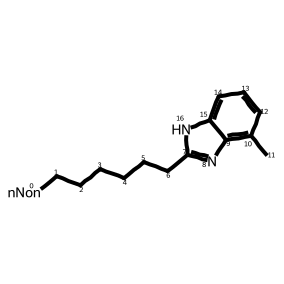 CCCCCCCCCCCCCCCc1nc2c(C)cccc2[nH]1